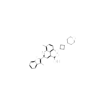 Cc1c(-c2cc(C(=O)O)c3c(O[C@H]4C[C@@H](C5CCOCC5)C4)ccc(C)c3n2)sc2ccccc12